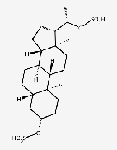 C[C@H](OS(=O)(=O)O)[C@H]1CC[C@H]2[C@@H]3CC[C@H]4C[C@@H](OS(=O)(=O)O)CC[C@]4(C)[C@H]3CC[C@]12C